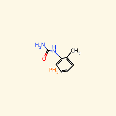 Cc1ccccc1NC(N)=O.P